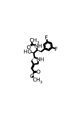 COC(=O)/C=C1\CN[C@@H]([C@@H](O)[C@H](Cc2cc(F)cc(F)c2)NC(C)=O)C1